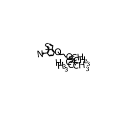 CC(C)(C)[Si](C)(C)OCCCOc1ccc(C#N)c2sccc12